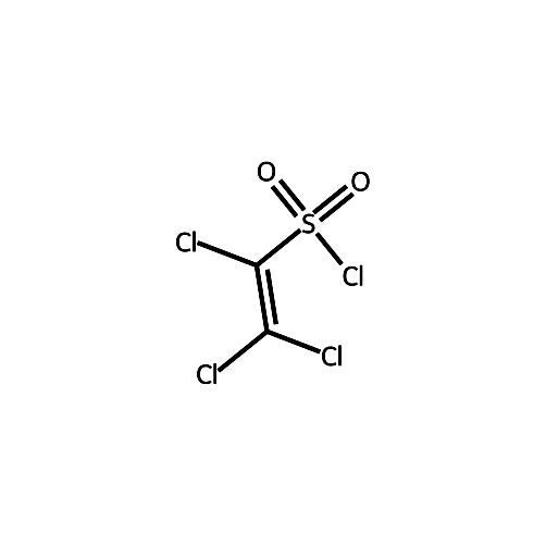 O=S(=O)(Cl)C(Cl)=C(Cl)Cl